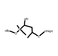 CCCCCCCSC(C)CC(CCC)[Si](C)(C)OCCCC